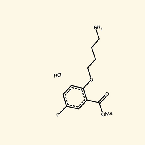 COC(=O)c1cc(F)ccc1OCCCCN.Cl